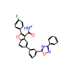 CNC(=O)c1c(-c2ccc(F)cc2)oc2ccc(-c3cccc(-c4nc(-c5ccccc5)no4)c3)cc12